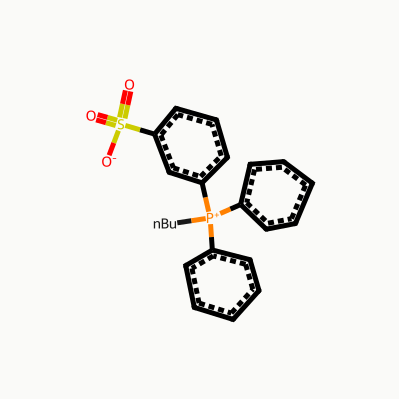 CCCC[P+](c1ccccc1)(c1ccccc1)c1cccc(S(=O)(=O)[O-])c1